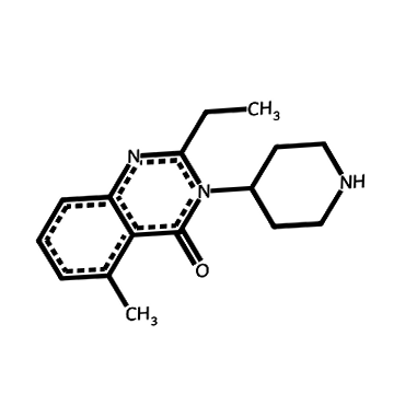 CCc1nc2cccc(C)c2c(=O)n1C1CCNCC1